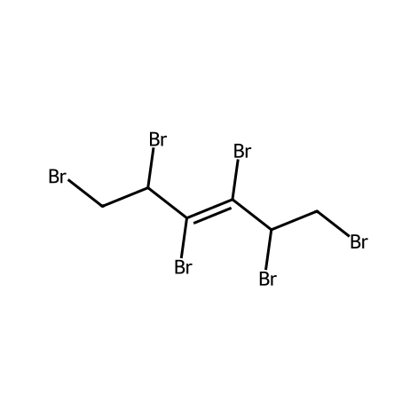 BrCC(Br)C(Br)=C(Br)C(Br)CBr